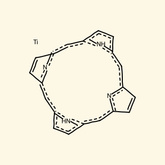 C1=Cc2cc3ccc(cc4nc(cc5ccc(cc1n2)[nH]5)C=C4)[nH]3.[Ti]